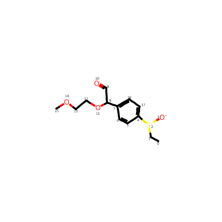 CC[S+]([O-])c1ccc(C(C=O)OCCOC)cc1